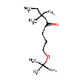 CCC(C)(C)C(=O)CCCOC(C)(C)C